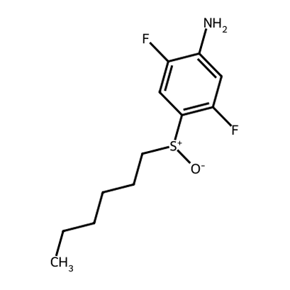 CCCCCC[S+]([O-])c1cc(F)c(N)cc1F